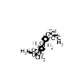 C=CC(=O)OC(C)(C)Oc1ccc(C(C)(C)c2ccc(OC(C)(C)OC(=O)C=C)cc2)cc1